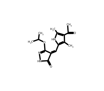 CC(=O)c1c(C)[nH]c(C=C2C(=O)NN=C2OC(C)C)c1C